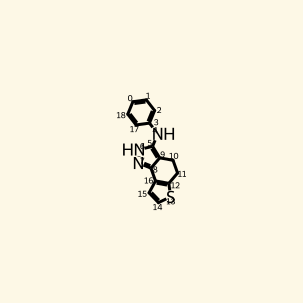 c1ccc(Nc2[nH]nc3c2CCc2sccc2-3)cc1